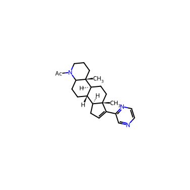 CC(=O)N1CCC[C@@]2(C)C1CC[C@@H]1[C@@H]2CC[C@]2(C)C(c3cnccn3)=CC[C@@H]12